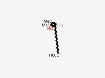 COc1cc(C)c(CCCCCCCCCCCCCCCC(=O)O)c(O)c1OC